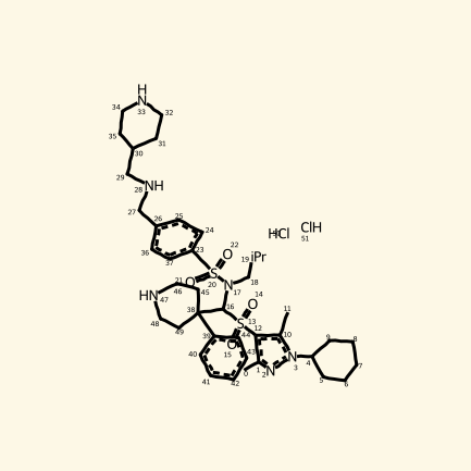 Cc1nn(C2CCCCC2)c(C)c1S(=O)(=O)C(N(CC(C)C)S(=O)(=O)c1ccc(CNCC2CCNCC2)cc1)C1(c2ccccc2)CCNCC1.Cl.Cl